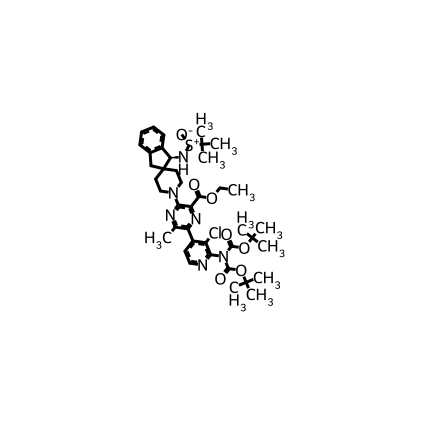 CCOC(=O)c1nc(-c2ccnc(N(C(=O)OC(C)(C)C)C(=O)OC(C)(C)C)c2Cl)c(C)nc1N1CCC2(CC1)Cc1ccccc1[C@H]2N[S+]([O-])C(C)(C)C